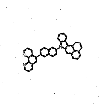 C1=Cc2cccc3cc4c(c(c23)C1)c1ccccc1n4-c1ccc2cc(-c3cc4cccnc4c4ncccc34)ccc2c1